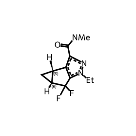 CCn1nc(C(=O)NC)c2c1C(F)(F)[C@@H]1C[C@H]21